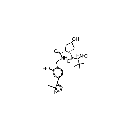 Cc1ncsc1-c1ccc(CNC(=O)[C@@H]2C[C@@H](O)CN2C(=O)C(NCl)C(C)(C)C)c(O)c1